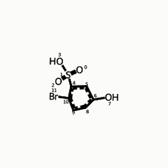 O=S(=O)(O)c1cc(O)ccc1Br